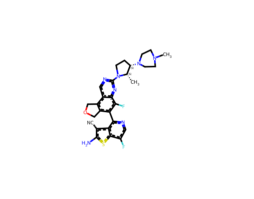 C[C@H]1[C@@H](N2CCN(C)CC2)CCN1c1ncc2c3c(c(-c4ncc(F)c5sc(N)c(C#N)c45)c(F)c2n1)COC3